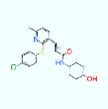 Cc1ccc(/C=C/C(=O)NC2CCC(O)CC2)c(Sc2ccc(Cl)cc2)n1